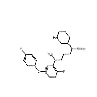 COC(CCCC(O)c1cc(Oc2ccc(F)cc2)ccc1F)[C@@H]1CCCNC1